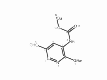 COc1nnc(C=O)cc1NC(=O)OC(C)(C)C